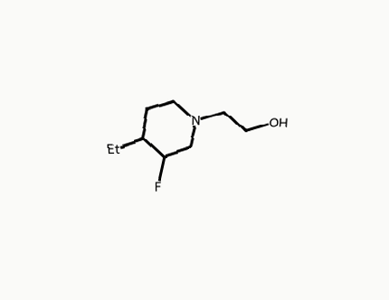 CCC1CCN(CCO)CC1F